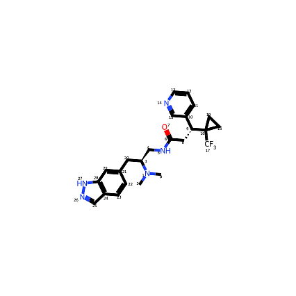 CN(C)[C@H](CNC(=O)C[C@H](c1cccnc1)C1(C(F)(F)F)CC1)Cc1ccc2cn[nH]c2c1